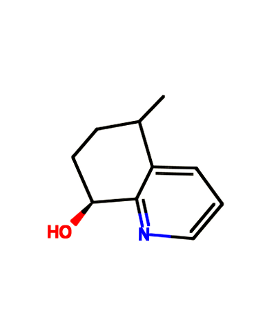 CC1CC[C@H](O)c2ncccc21